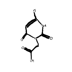 O=C(O)Cn1c(=O)cc(Cl)[nH]c1=O